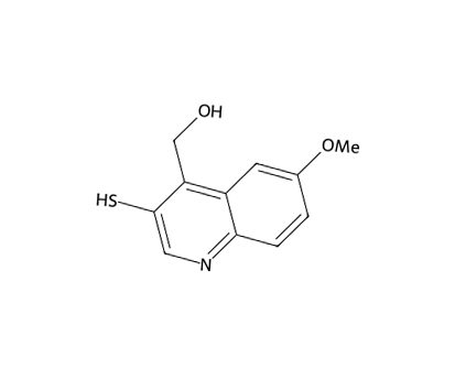 COc1ccc2ncc(S)c(CO)c2c1